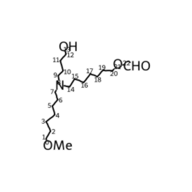 COCCCCCCCN(CCCCO)CCCCCCCOC=O